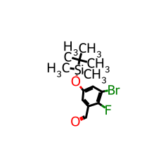 CC(C)(C)[Si](C)(C)Oc1cc(Br)c(F)c(C=O)c1